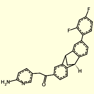 Nc1ccc(CC(=O)c2ccc3c(c2)C2C[C@H]3c3ccc(-c4ccc(F)cc4F)cc32)cn1